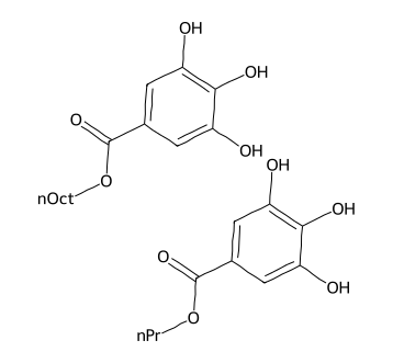 CCCCCCCCOC(=O)c1cc(O)c(O)c(O)c1.CCCOC(=O)c1cc(O)c(O)c(O)c1